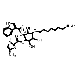 CC(=O)NCCCCCCCOC1C(O)C(O)C(OC(=O)c2nc(C)c[nH]2)C(OC(C)c2c[nH]c3ccccc23)C1O